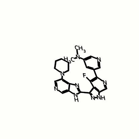 CN(C)c1cncc(-c2ncc3[nH]nc(-c4nc5c(N6CCCCC6)cncc5[nH]4)c3c2F)c1